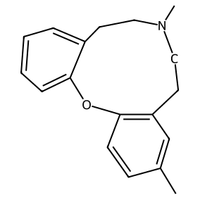 Cc1ccc2c(c1)CCN(C)CCc1ccccc1O2